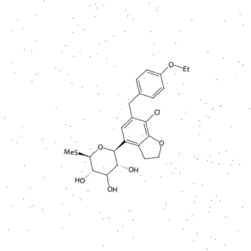 CCOc1ccc(Cc2cc([C@@H]3O[C@H](SC)[C@@H](O)C(O)[C@H]3O)c3c(c2Cl)OCC3)cc1